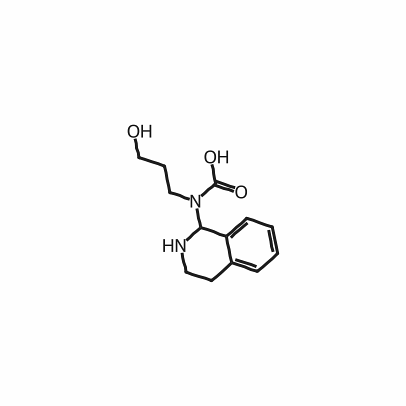 O=C(O)N(CCCO)C1NCCc2ccccc21